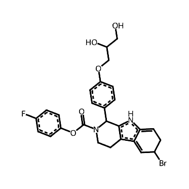 O=C(Oc1ccc(F)cc1)N1CCc2c([nH]c3c2=CC(Br)CC=3)C1c1ccc(OCC(O)CO)cc1